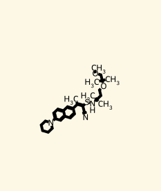 COCC(C)(C)OCCC(C)(C)NS/C(C#N)=C(\C)c1ccc2cc(N3CCCCC3)ccc2c1